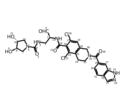 O=C[C@H](CNC(=O)N1C[C@@H](O)[C@H](O)C1)NC(=O)c1c(Cl)cc2c(c1Cl)CCN(C(=O)c1ccc3cn[nH]c3c1)C2